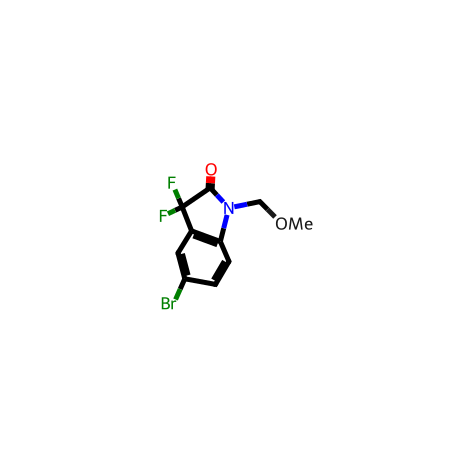 COCN1C(=O)C(F)(F)c2cc(Br)ccc21